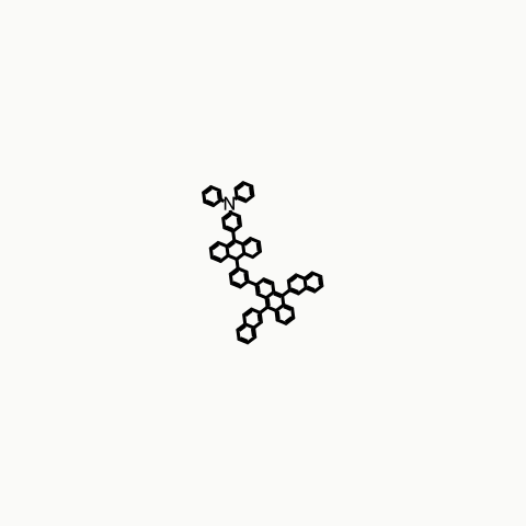 C1=CCC2C(=C1)C(c1ccc(N(c3ccccc3)c3ccccc3)cc1)=C1C=CC=CC1C2c1cccc(-c2ccc3c(-c4ccc5ccccc5c4)c4ccccc4c(-c4ccc5ccccc5c4)c3c2)c1